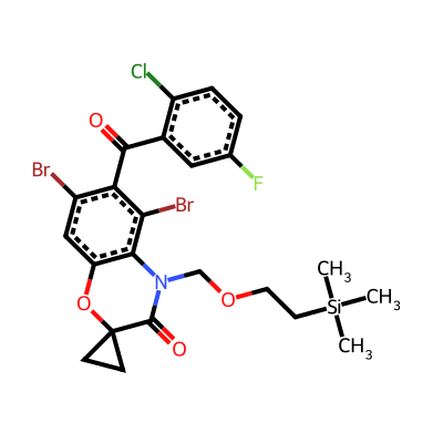 C[Si](C)(C)CCOCN1C(=O)C2(CC2)Oc2cc(Br)c(C(=O)c3cc(F)ccc3Cl)c(Br)c21